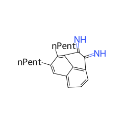 CCCCCc1cc2cccc3c2c(c1CCCCC)C(=N)C3=N